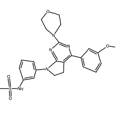 COc1cccc(-c2nc(N3CCOCC3)nc3c2CCN3c2cccc(NS(C)(=O)=O)c2)c1